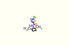 Cc1cccc(C)c1NC(=O)c1cnc(Br)s1